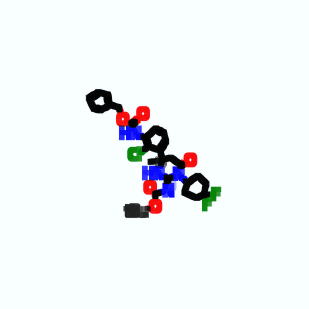 CC(C)(C)OC(=O)/N=C1\N[C@](C)(c2cccc(NC(=O)OCc3ccccc3)c2Cl)CC(=O)N1C1CCC(F)(F)CC1